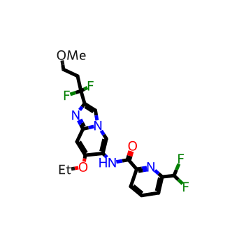 CCOc1cc2nc(C(F)(F)CCOC)cn2cc1NC(=O)c1cccc(C(F)F)n1